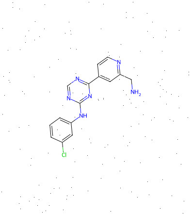 NCc1cc(-c2ncnc(Nc3cccc(Cl)c3)n2)ccn1